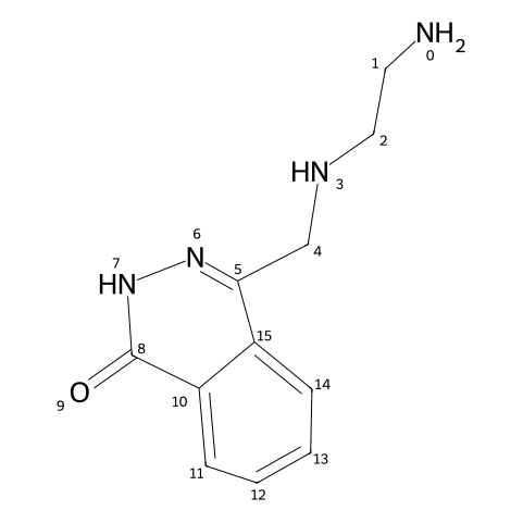 NCCNCc1n[nH]c(=O)c2ccccc12